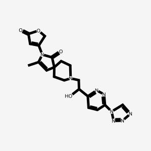 CC1=CC2(CCN(CC(O)c3ccc(-n4cnnn4)nn3)CC2)C(=O)N1C1=CC(=O)OC1